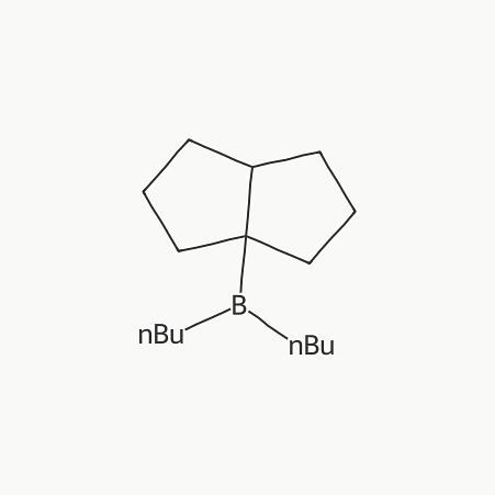 CCCCB(CCCC)C12CCCC1CCC2